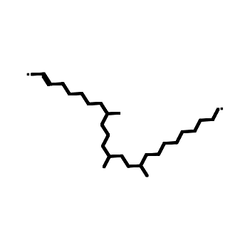 [CH2]C=CCCCCCC(C)CCCC(C)CCC(C)CCCCCCCC[CH2]